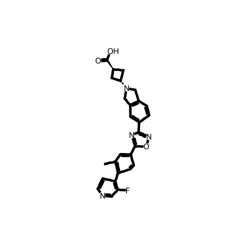 Cc1cc(-c2nc(-c3ccc4c(c3)CN([C@H]3C[C@H](C(=O)O)C3)C4)no2)ccc1-c1ccncc1F